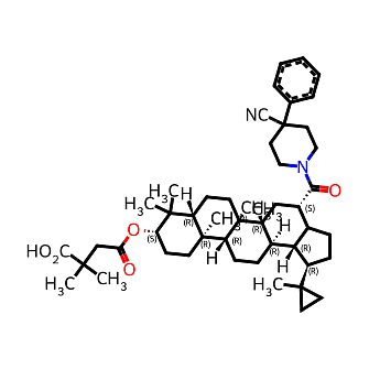 CC(C)(CC(=O)O[C@H]1CC[C@]2(C)[C@H]3CC[C@@H]4[C@@H]5C(CC[C@H]5C5(C)CC5)[C@@H](C(=O)N5CCC(C#N)(c6ccccc6)CC5)C[C@@]4(C)[C@]3(C)CC[C@H]2C1(C)C)C(=O)O